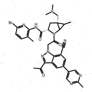 CC(=O)c1nn(CC(=O)N2C3C(C)[C@]3(CN(C)C)C[C@H]2C(=O)Nc2nc(Br)ccc2C)c2c(C#N)cc(-c3cnc(C)nc3)cc12